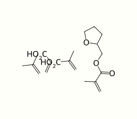 C=C(C)C.C=C(C)C(=O)O.C=C(C)C(=O)OCC1CCCO1.C=CC(=O)O